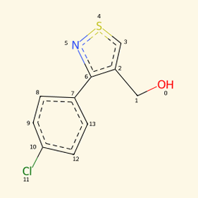 OCc1csnc1-c1ccc(Cl)cc1